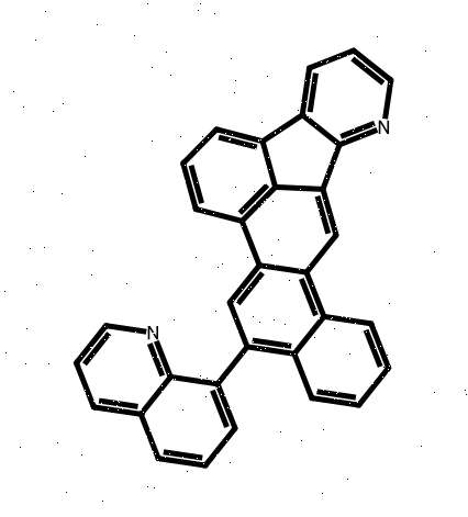 c1cnc2c(c1)-c1cccc3c1c-2cc1c2ccccc2c(-c2cccc4cccnc24)cc31